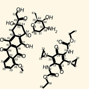 CCOC(=O)NC1=C(N2CC2)C(=O)C(NC(=O)OCC)=C(N2CC2)C1=O.COc1cccc2c1C(=O)c1c(O)c3c(c(O)c1C2=O)C[C@@](O)(C(=O)CO)C[C@@H]3O[C@H]1C[C@H](N)[C@H](O)[C@H](C)O1